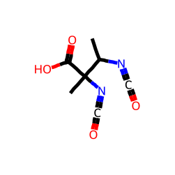 CC(N=C=O)C(C)(N=C=O)C(=O)O